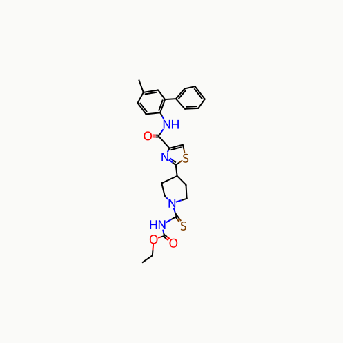 CCOC(=O)NC(=S)N1CCC(c2nc(C(=O)Nc3ccc(C)cc3-c3ccccc3)cs2)CC1